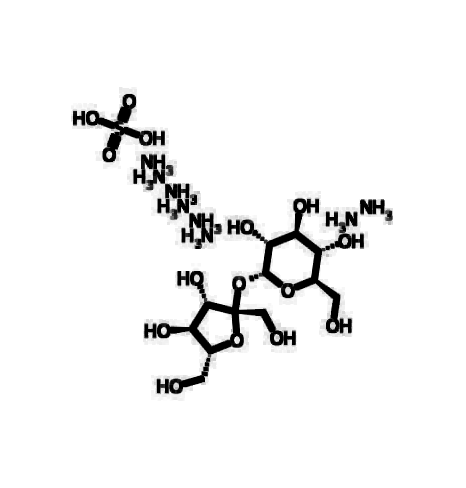 N.N.N.N.N.N.N.N.O=S(=O)(O)O.OC[C@H]1O[C@@](CO)(O[C@H]2O[C@H](CO)[C@@H](O)[C@H](O)[C@H]2O)[C@@H](O)[C@@H]1O